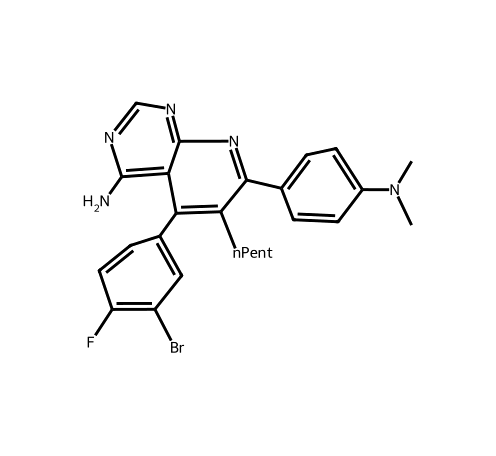 CCCCCc1c(-c2ccc(N(C)C)cc2)nc2ncnc(N)c2c1-c1ccc(F)c(Br)c1